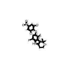 CC1(C)OCCc2[nH]c3c(F)cc(Oc4c(Cl)cc([N+](=O)[O-])cc4Cl)c(F)c3c21